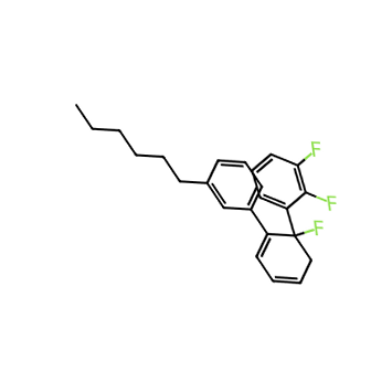 CCCCCCc1cccc(C2=CC=CCC2(F)c2cccc(F)c2F)c1